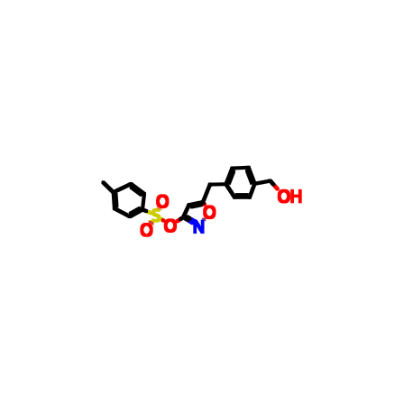 Cc1ccc(S(=O)(=O)Oc2cc(Cc3ccc(CO)cc3)on2)cc1